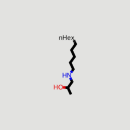 CCCCCCCCCCCNCC(C)O